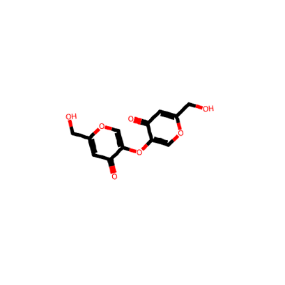 O=c1cc(CO)occ1Oc1coc(CO)cc1=O